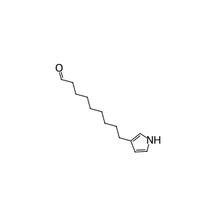 O=CCCCCCCCCc1cc[nH]c1